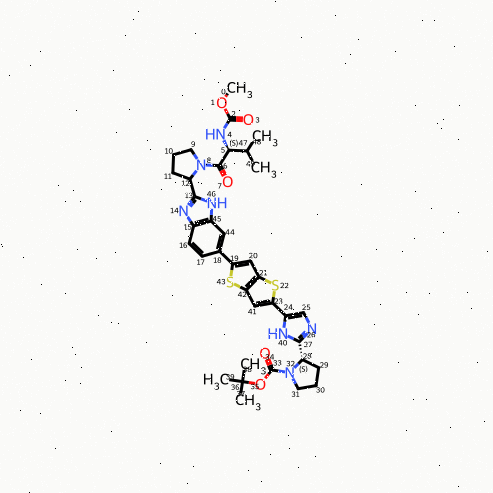 COC(=O)N[C@H](C(=O)N1CCCC1c1nc2ccc(-c3cc4sc(-c5cnc([C@@H]6CCCN6C(=O)OC(C)(C)C)[nH]5)cc4s3)cc2[nH]1)C(C)C